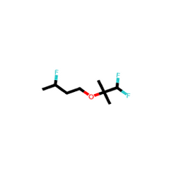 CC(F)CCOC(C)(C)C(F)F